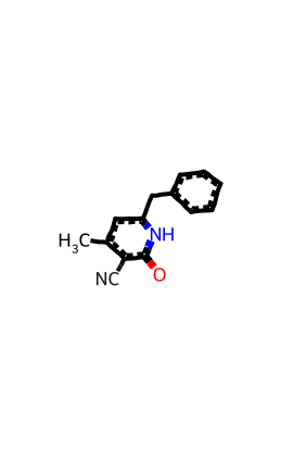 Cc1cc(Cc2ccccc2)[nH]c(=O)c1C#N